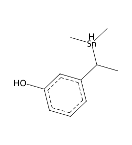 C[CH](c1cccc(O)c1)[SnH]([CH3])[CH3]